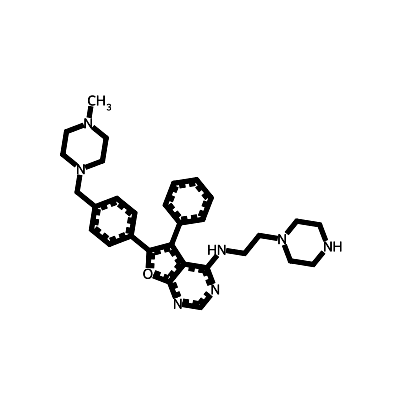 CN1CCN(Cc2ccc(-c3oc4ncnc(NCCN5CCNCC5)c4c3-c3ccccc3)cc2)CC1